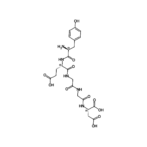 N[C@@H](Cc1ccc(O)cc1)C(=O)N[C@@H](CCC(=O)O)C(=O)NCC(=O)NCC(=O)N[C@@H](CC(=O)O)C(=O)O